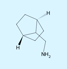 NCC1[C@H]2CC[C@H]1CC2